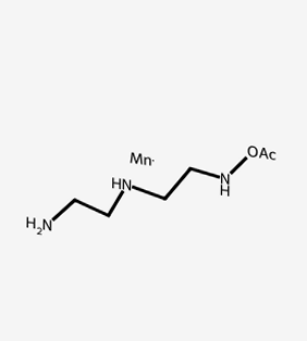 CC(=O)ONCCNCCN.[Mn]